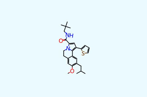 COc1cc2c(cc1CC(C)C)-c1c(-c3cccs3)cc(C(=O)NCC(C)(C)C)n1CC2